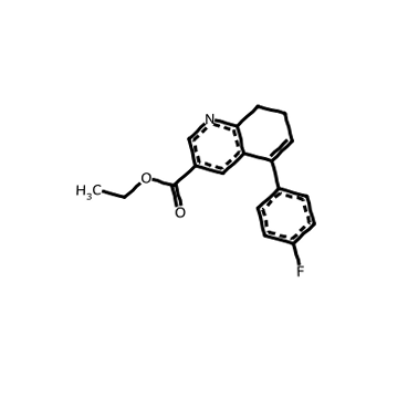 CCOC(=O)c1cnc2c(c1)C(c1ccc(F)cc1)=CCC2